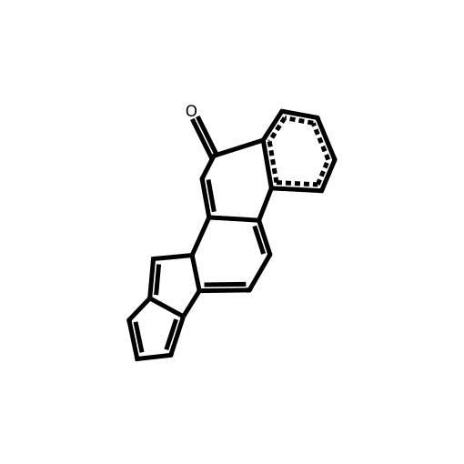 O=C1C=C2C(=CC=C3C4=CC=CC4=CC32)c2ccccc21